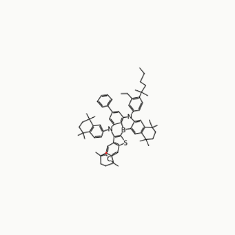 CCCCC(C)(C)c1ccc(N2c3cc4c(cc3B3c5sc6cc7c(cc6c5N(c5ccc6c(c5)C(C)(C)CCC6(C)C)c5cc(-c6ccccc6)cc2c53)C2(C)CCC7(C)CC2)C(C)(C)CCC4(C)C)cc1CC